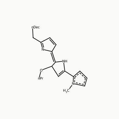 CCCCCCCCCCCC1=NC(=C2NC(c3cccn3C)=CC2OCCC)C=C1